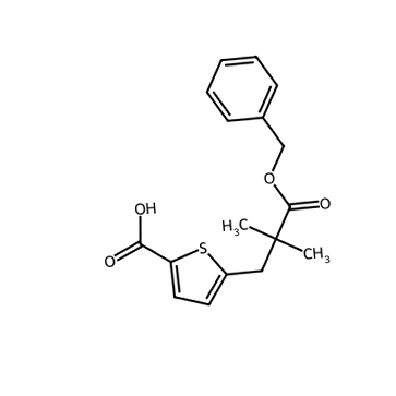 CC(C)(Cc1ccc(C(=O)O)s1)C(=O)OCc1ccccc1